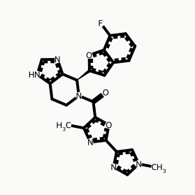 Cc1nc(-c2cn(C)cn2)oc1C(=O)N1CCc2[nH]cnc2[C@H]1c1cc2cccc(F)c2o1